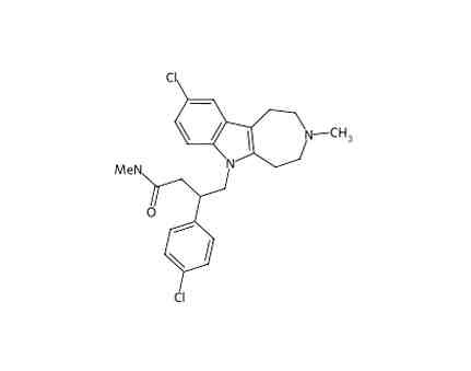 CNC(=O)CC(Cn1c2c(c3cc(Cl)ccc31)CCN(C)CC2)c1ccc(Cl)cc1